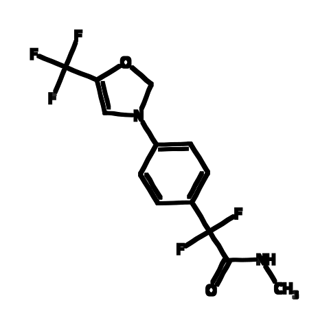 CNC(=O)C(F)(F)c1ccc(N2C=C(C(F)(F)F)OC2)cc1